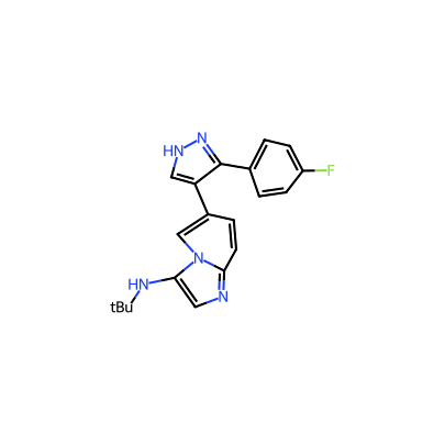 CC(C)(C)Nc1cnc2ccc(-c3c[nH]nc3-c3ccc(F)cc3)cn12